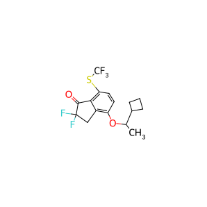 CC(Oc1ccc(SC(F)(F)F)c2c1CC(F)(F)C2=O)C1CCC1